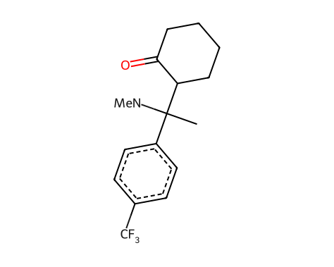 CNC(C)(c1ccc(C(F)(F)F)cc1)C1CCCCC1=O